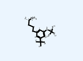 C[C@H](N)CCCc1cc(SC(F)(F)F)cc(C(C)(C)C)c1